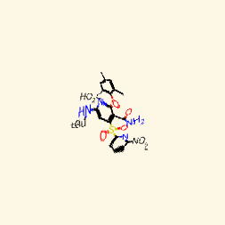 Cc1cc(C)c(Oc2nc(NC(C)(C)C)cc(S(=O)(=O)c3cccc([N+](=O)[O-])n3)c2C(N)=O)c(C(=O)O)c1